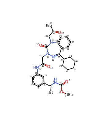 CCC(NC(=O)OC(C)(C)C)c1cccc(NC(=O)CN2N=C(C3CCCCC3)c3ccccc3N(CC(=O)C(C)(C)C)C2=O)c1